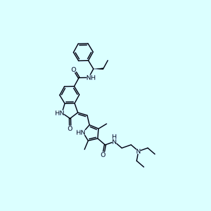 CC[C@@H](NC(=O)c1ccc2c(c1)/C(=C/c1[nH]c(C)c(C(=O)NCCN(CC)CC)c1C)C(=O)N2)c1ccccc1